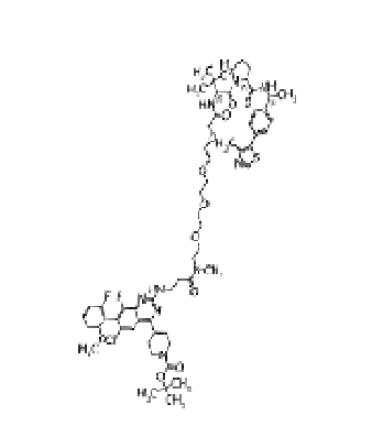 COC1CC=CC(F)=C1c1c(Cl)cc2c(C3CCN(C(=O)OC(C)(C)C)CC3)nc(NCCC(=O)N(C)CCOCCOCCOCCOCC(=O)N[C@H](C(=O)N3CCC[C@H]3C(=O)N[C@@H](C)c3ccc(-c4scnc4C)cc3)C(C)(C)C)nc2c1F